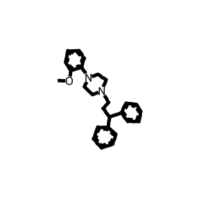 COc1ccccc1N1CCN(CCC(c2ccccc2)c2ccccc2)CC1